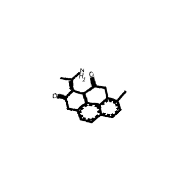 CC(N)=C1C(=O)[CH]c2ccc3ccc(C)c4c3c2C1C(=O)C4